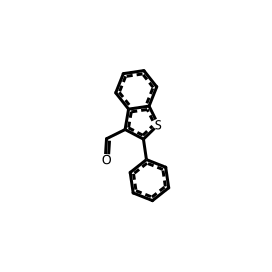 O=Cc1c(-c2ccccc2)sc2ccccc12